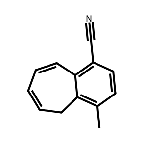 Cc1ccc(C#N)c2c1CC=CC=C2